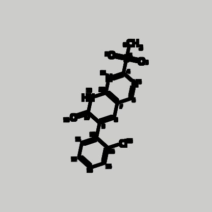 CS(=O)(=O)c1ncc2cc(-c3ccccc3Cl)c(=O)[nH]c2n1